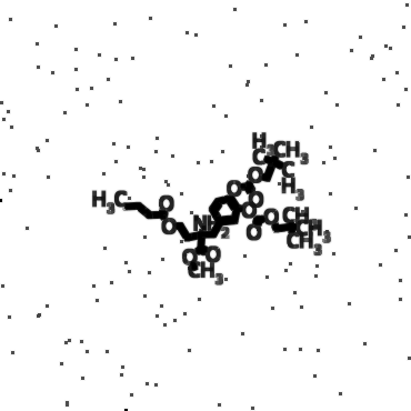 CCCCC(=O)OCC[C@@](N)(Cc1ccc(OC(=O)OCC(C)(C)C)c(OC(=O)OCC(C)(C)C)c1)C(=O)OC